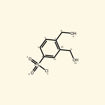 O=S(=O)(Cl)c1ccc(CO)c(CO)c1